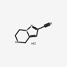 Cl.N#Cc1cc2n(n1)CCNC2